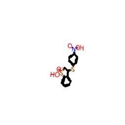 O=[N+](O)c1ccc(SC2CS([O-])(O)c3ccccc32)cc1